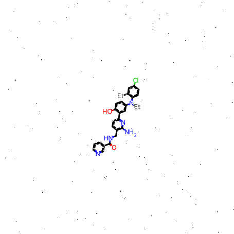 CCc1cc(Cl)ccc1N(CC)c1ccc(O)c(-c2ccc(CNC(=O)c3cccnc3)c(N)n2)c1